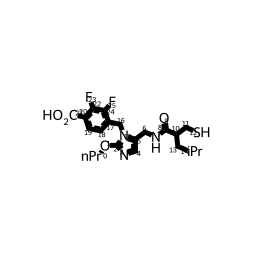 CCCOc1ncc(CNC(=O)C(CS)CC(C)C)n1Cc1ccc(C(=O)O)c(F)c1F